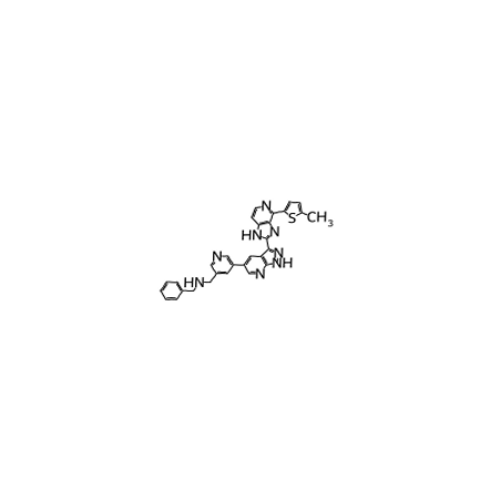 Cc1ccc(-c2nccc3[nH]c(-c4n[nH]c5ncc(-c6cncc(CNCc7ccccc7)c6)cc45)nc23)s1